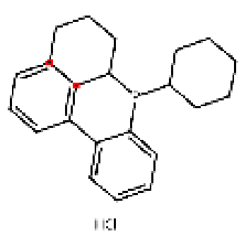 Cl.c1ccc(-c2ccccc2P(C2CCCCC2)C2CCCCC2)cc1